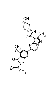 CC(C1CC1)N1Cc2cc(-c3ccn4nc(N)c(C(=O)N[C@H]5CC[C@H](O)C5)c4n3)cc(OC(F)(F)F)c2C1=O